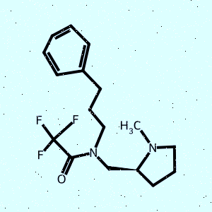 CN1CCC[C@H]1CN(CCCc1ccccc1)C(=O)C(F)(F)F